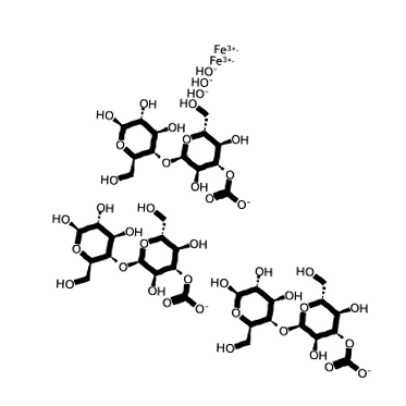 O=C([O-])O[C@@H]1[C@@H](O)[C@@H](O[C@H]2[C@H](O)[C@@H](O)[C@H](O)O[C@@H]2CO)O[C@H](CO)[C@H]1O.O=C([O-])O[C@@H]1[C@@H](O)[C@@H](O[C@H]2[C@H](O)[C@@H](O)[C@H](O)O[C@@H]2CO)O[C@H](CO)[C@H]1O.O=C([O-])O[C@@H]1[C@@H](O)[C@@H](O[C@H]2[C@H](O)[C@@H](O)[C@H](O)O[C@@H]2CO)O[C@H](CO)[C@H]1O.[Fe+3].[Fe+3].[OH-].[OH-].[OH-]